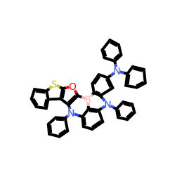 c1ccc(N(c2ccccc2)c2ccc3c(c2)N(c2ccccc2)c2cccc4c2B3c2oc3sc5ccccc5c3c2N4c2ccccc2)cc1